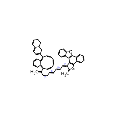 C=C(\C=C/C=C/C=C/C=c1\c(=C)sc2c3ccccc3c3oc4ccccc4c3c12)c1ccccccc(C2=CC=C3C=CCCC3C2)c2ccccc12